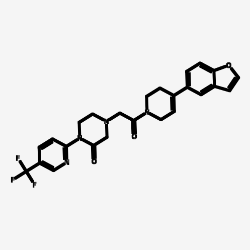 O=C(CN1CCN(c2ccc(C(F)(F)F)cn2)C(=O)C1)N1CC=C(c2ccc3occc3c2)CC1